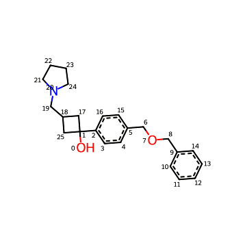 OC1(c2ccc(COCc3ccccc3)cc2)CC(CN2CCCC2)C1